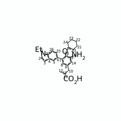 CCn1ccc2cc(-c3cc(CC(C)C(=O)O)cc(N)c3OC3CCCCC3)ccc21